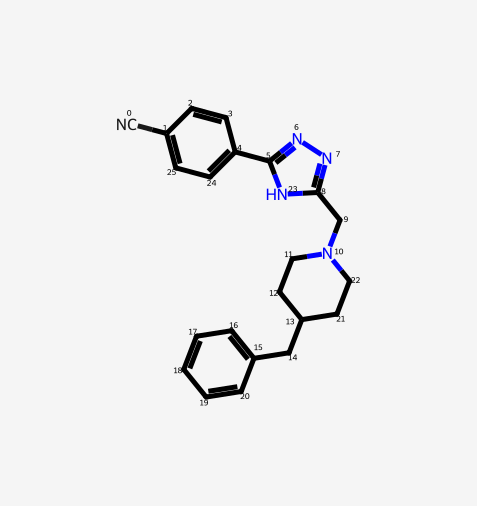 N#Cc1ccc(-c2nnc(CN3CCC(Cc4ccccc4)CC3)[nH]2)cc1